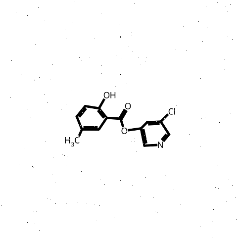 Cc1ccc(O)c(C(=O)Oc2cncc(Cl)c2)c1